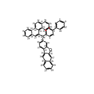 c1ccc(-c2ccc(N(c3ccc4c(c3)oc3cc5ccccc5cc34)c3cc4ccccc4c4ccc5ccccc5c34)cc2)cc1